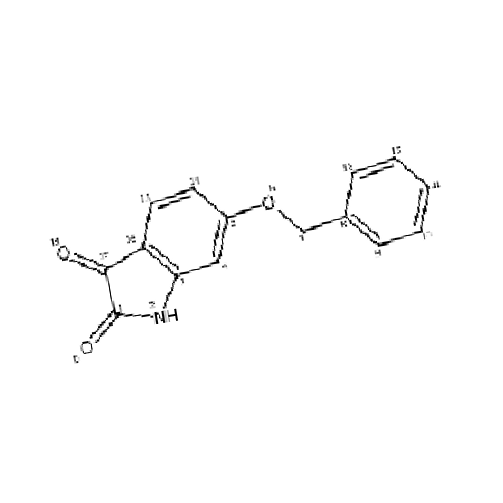 O=C1Nc2cc(OCc3ccccc3)ccc2C1=O